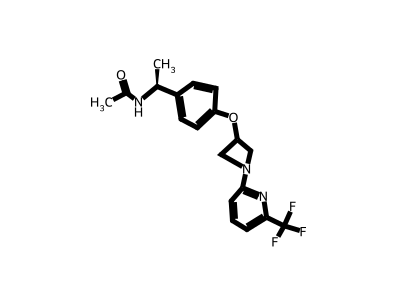 CC(=O)N[C@@H](C)c1ccc(OC2CN(c3cccc(C(F)(F)F)n3)C2)cc1